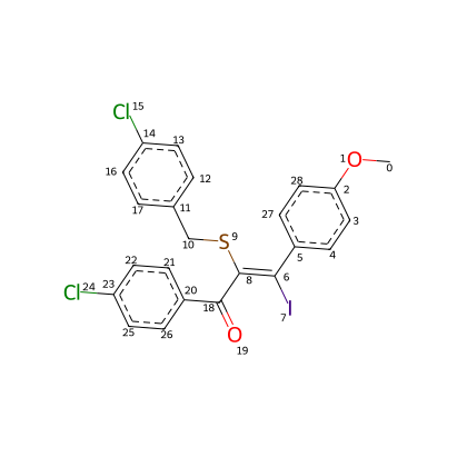 COc1ccc(C(I)=C(SCc2ccc(Cl)cc2)C(=O)c2ccc(Cl)cc2)cc1